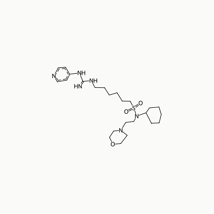 N=C(NCCCCCCS(=O)(=O)N(CCN1CCOCC1)C1CCCCC1)Nc1ccncc1